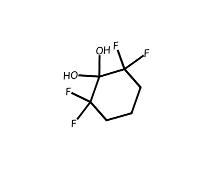 OC1(O)C(F)(F)CCCC1(F)F